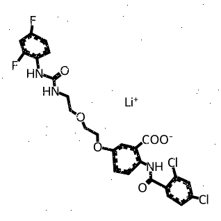 O=C(NCCOCCOc1ccc(NC(=O)c2ccc(Cl)cc2Cl)c(C(=O)[O-])c1)Nc1ccc(F)cc1F.[Li+]